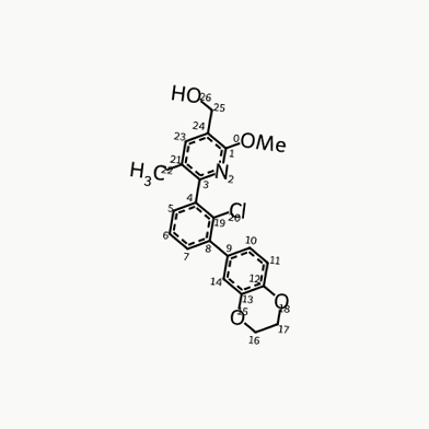 COc1nc(-c2cccc(-c3ccc4c(c3)OCCO4)c2Cl)c(C)cc1CO